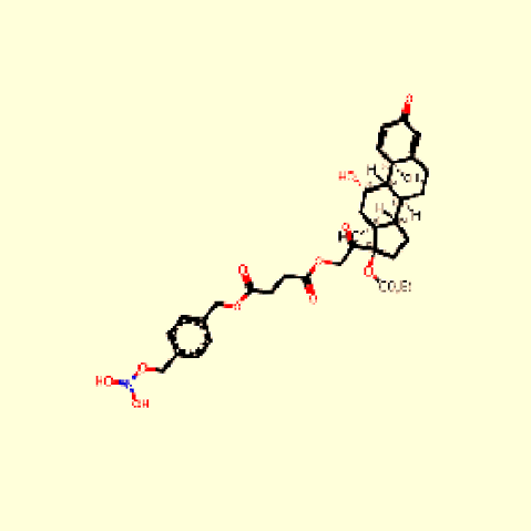 CCOC(=O)O[C@]1(C(=O)COC(=O)CCC(=O)OCc2ccc(CON(O)O)cc2)CC[C@H]2[C@@H]3CCC4=CC(=O)C=C[C@]4(C)[C@H]3[C@@H](O)C[C@@]21C